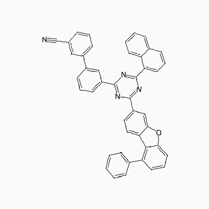 N#Cc1cccc(-c2cccc(-c3nc(-c4ccc5c(c4)oc4cccc(-c6ccccc6)c45)nc(-c4cccc5ccccc45)n3)c2)c1